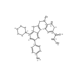 CCN(Cc1cc2nc(-c3ccc(N)cc3)nc(N3CCOCC3)c2s1)C1=NC=C(C(=O)NO)CN1